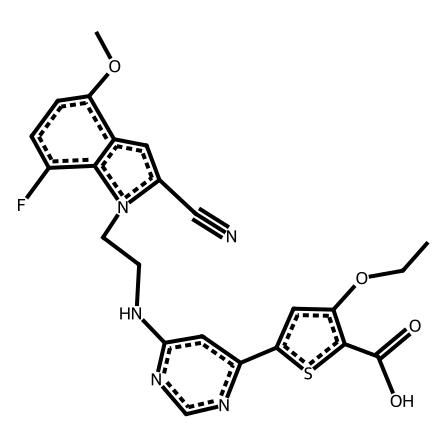 CCOc1cc(-c2cc(NCCn3c(C#N)cc4c(OC)ccc(F)c43)ncn2)sc1C(=O)O